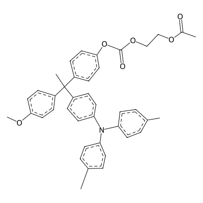 COc1ccc(C(C)(c2ccc(OC(=O)OCCOC(C)=O)cc2)c2ccc(N(c3ccc(C)cc3)c3ccc(C)cc3)cc2)cc1